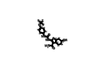 NC(=O)c1c(NC(=O)Nc2ccc(OC(F)(F)F)cc2)sc2c1CCC(O)C2